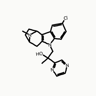 CN1C2CCC1c1c(n(CC(C)(O)c3cnccn3)c3ccc(Cl)cc13)C2